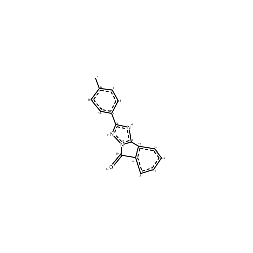 Cc1ccc(-c2nc3n(n2)C(=O)c2ccccc2-3)cc1